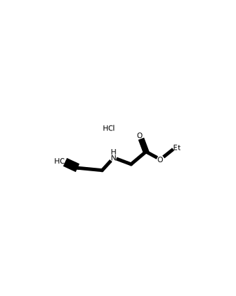 C#CCNCC(=O)OCC.Cl